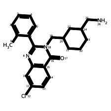 Cc1ccccc1-c1nc2cc(Cl)ccc2c(=O)n1CC1CCCC(CN)C1